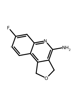 Nc1nc2cc(F)[c]cc2c2c1COC2